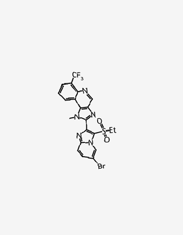 CCS(=O)(=O)c1c(-c2nc3cnc4c(C(F)(F)F)cccc4c3n2C)nc2ccc(Br)cn12